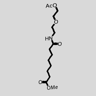 COC(=O)CCCCCCC(=O)NCCOCCOC(C)=O